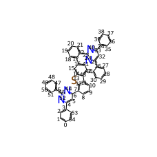 c1ccc(-c2cc(-c3cccc4c3sc3cc(-c5ccccc5-c5nc(-c6ccccc6)cc(-c6ccccc6)n5)ccc34)nc(-c3ccccc3)n2)cc1